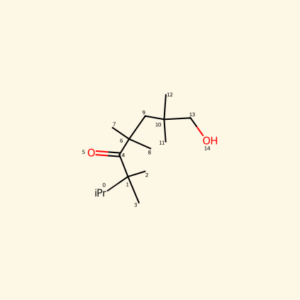 CC(C)C(C)(C)C(=O)C(C)(C)CC(C)(C)CO